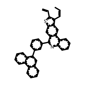 C=Cc1sc2cc3c(-c4cccc(-c5cc6ccccc6c6ccccc56)c4)nc4ccccc4c3cc2c1/C=C\C